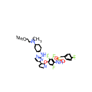 COCCN(C)[C@H]1CC[C@H](Nc2nccc(-c3cccnc3Oc3cc(F)c(NS(=O)(=O)Cc4ccc(F)cc4)c(F)c3F)n2)CC1